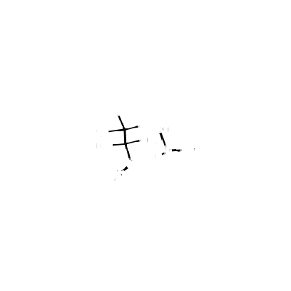 CC(C)(O)C(C)(C)ON.OB(O)O